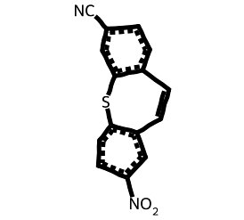 N#Cc1ccc2c(c1)Sc1ccc([N+](=O)[O-])cc1C=C2